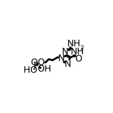 Nc1nc2c(ncn2CCCCOP(=O)(O)O)c(=O)[nH]1